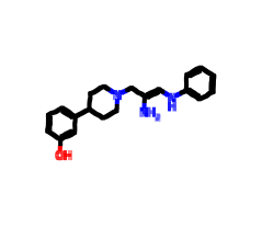 N/C(=C\Nc1ccccc1)CN1CCC(c2cccc(O)c2)CC1